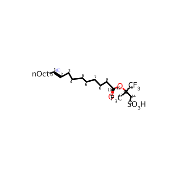 CCCCCCCC/C=C/CCCCCCCC(=O)OC(CS(=O)(=O)O)(C(F)(F)F)C(F)(F)F